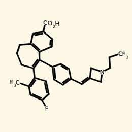 O=C(O)c1ccc2c(c1)CCCC(c1ccc(F)cc1C(F)(F)F)=C2c1ccc(C=C2CN(CCC(F)(F)F)C2)cc1